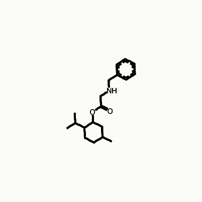 CC1CCC(C(C)C)C(OC(=O)CNCc2ccccc2)C1